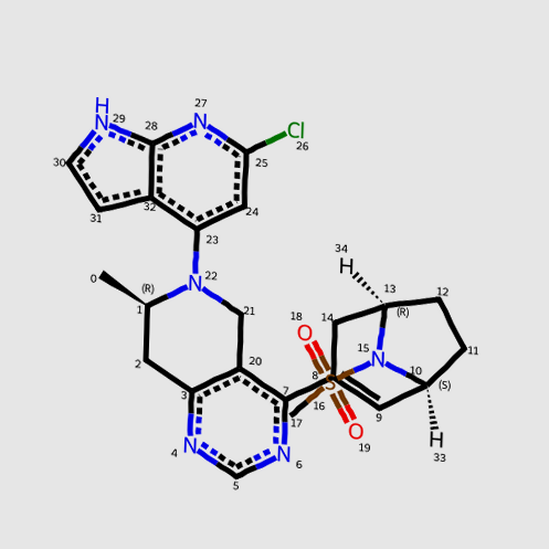 C[C@@H]1Cc2ncnc(C3=C[C@@H]4CC[C@H](C3)N4S(C)(=O)=O)c2CN1c1cc(Cl)nc2[nH]ccc12